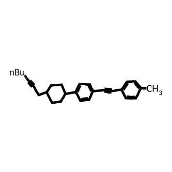 CCCCC#CCC1CCC(c2ccc(C#Cc3ccc(C)cc3)cc2)CC1